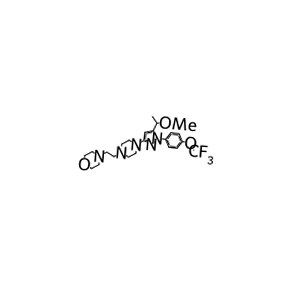 COC(C)c1cc(N2CCN(CCN3CCOCC3)CC2)nn1-c1ccc(OC(F)(F)F)cc1